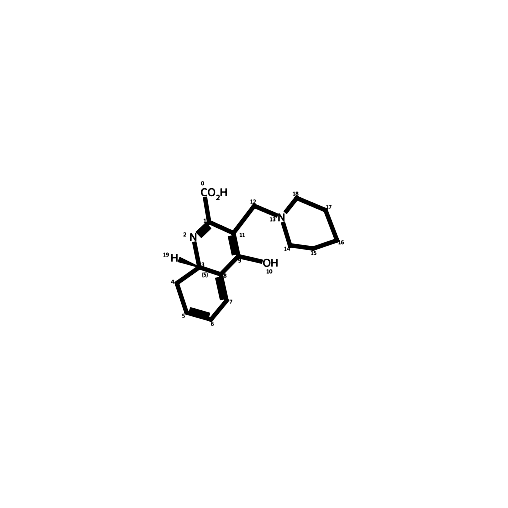 O=C(O)C1=N[C@H]2CC=CC=C2C(O)=C1CN1CCCCC1